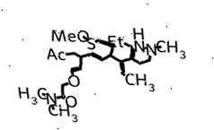 C/C=C(\C1=C(CC)NN(C)CC1)C(C=CC(C=COCC(=O)N(C)C)CC(C)=O)/C=C\SOC